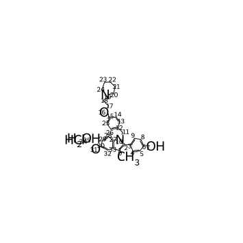 Cc1c(-c2ccc(O)cc2)n(Cc2ccc(OCCN3CCCCC3)cc2)c2ccc(O)cc12.Cl.O